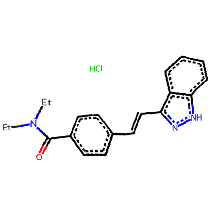 CCN(CC)C(=O)c1ccc(C=Cc2n[nH]c3ccccc23)cc1.Cl